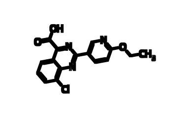 CCOc1ccc(-c2nc(C(=O)O)c3cccc(Cl)c3n2)cn1